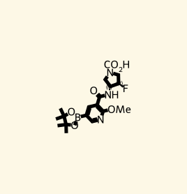 COc1ncc(B2OC(C)(C)C(C)(C)O2)cc1C(=O)N[C@@H]1CN(C(=O)O)C[C@H]1F